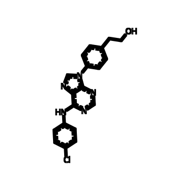 OCCc1ccc(-n2cnc3c(Nc4ccc(Cl)cc4)ncnc32)cc1